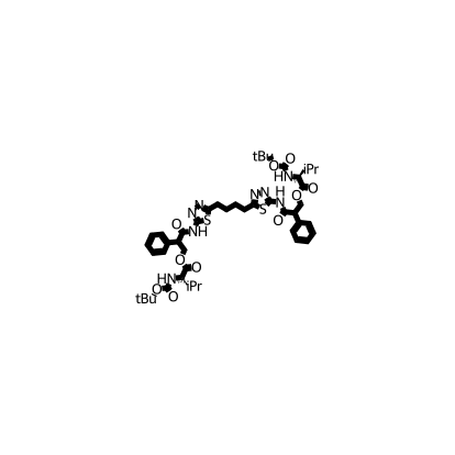 CC(C)[C@H](NC(=O)OC(C)(C)C)C(=O)OCC(C(=O)Nc1nnc(CCCCc2nnc(NC(=O)C(COC(=O)[C@@H](NC(=O)OC(C)(C)C)C(C)C)c3ccccc3)s2)s1)c1ccccc1